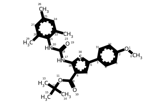 COc1ccc(-c2cc(C(=O)OC(C)(C)C)c(NC(=O)Nc3c(C)cc(C)cc3C)s2)cc1